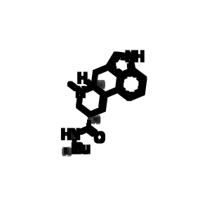 CC[C@@H](C)NC(=O)[C@H]1C=C2c3cccc4[nH]cc(c34)C[C@H]2N(C)C1